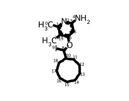 Cc1nc(N)cc(OC(I)C2CCCCCCCC2)c1C